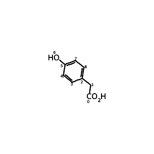 O=C(O)Cc1c[c]c(O)cc1